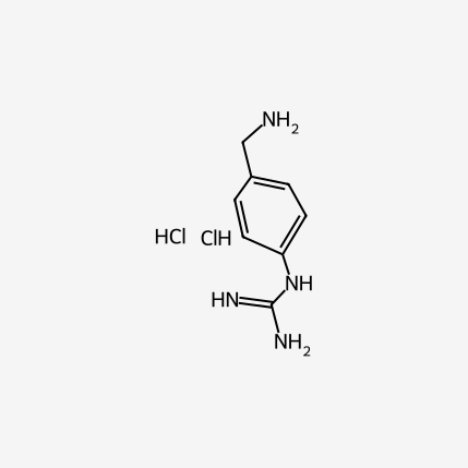 Cl.Cl.N=C(N)Nc1ccc(CN)cc1